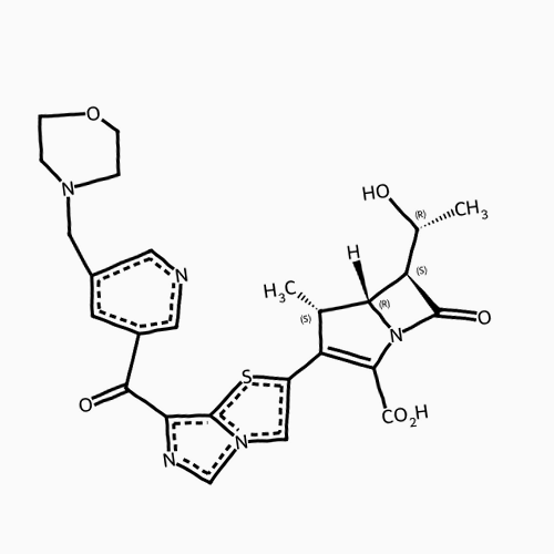 C[C@@H](O)[C@H]1C(=O)N2C(C(=O)O)=C(c3cn4cnc(C(=O)c5cncc(CN6CCOCC6)c5)c4s3)[C@H](C)[C@H]12